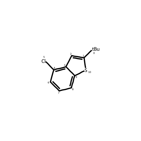 CC(C)(C)c1cc2c(Cl)cccc2s1